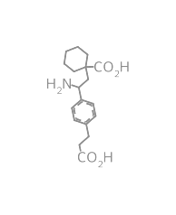 NC(CC1(C(=O)O)CCCCC1)c1ccc(CCC(=O)O)cc1